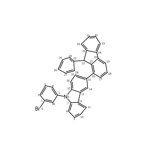 Brc1cccc(-n2c3ccccc3c3cc(-c4cccc5c4C(c4ccccc4)c4ccccc4-5)ccc32)c1